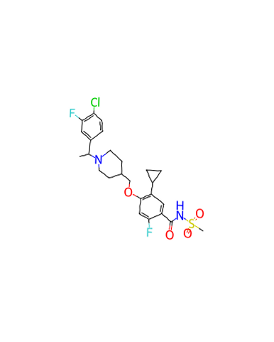 CC(c1ccc(Cl)c(F)c1)N1CCC(COc2cc(F)c(C(=O)NS(C)(=O)=O)cc2C2CC2)CC1